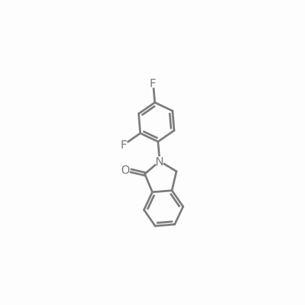 O=C1c2ccccc2CN1c1ccc(F)cc1F